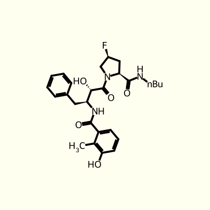 CCCCNC(=O)[C@@H]1C[C@H](F)CN1C(=O)[C@@H](O)[C@H](Cc1ccccc1)NC(=O)c1cccc(O)c1C